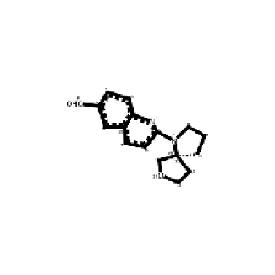 O=Cc1ccc2nc(N3CCC[C@@]34CCOC4)ccc2c1